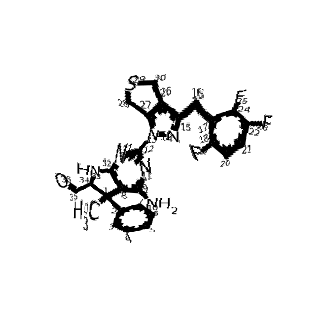 CC1(c2ccccc2)c2c(N)nc(-n3nc(Cc4c(F)ccc(F)c4F)c4c3CSC4)nc2NC1C=O